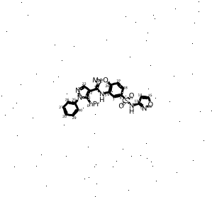 CCCc1c(C(=O)Nc2cc(S(=O)(=O)Nc3ccon3)ccc2OC)cnn1-c1ccccc1